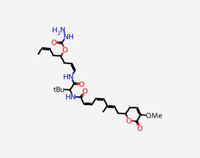 C/C=C\CC(C/C=C\NC(=O)C(NC(=O)\C=C/C=C\C(C)=C\CC1CC=C(OC)C(=O)O1)C(C)(C)C)OC(=O)NN